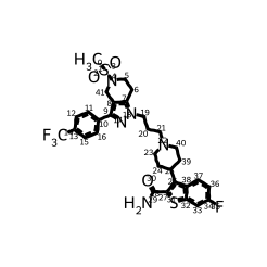 CS(=O)(=O)N1CCc2c(c(-c3ccc(C(F)(F)F)cc3)nn2CCCN2CCC(c3c(C(N)=O)sc4cc(F)ccc34)CC2)C1